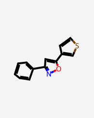 c1ccc(-c2cc(-c3ccsc3)on2)cc1